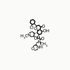 CN1CC[C@H](c2c(OC(=O)N(C)C[C@@H]3COCCN3)cc(O)c3c(=O)cc(-c4ccccc4Cl)oc23)[C@H](O)C1